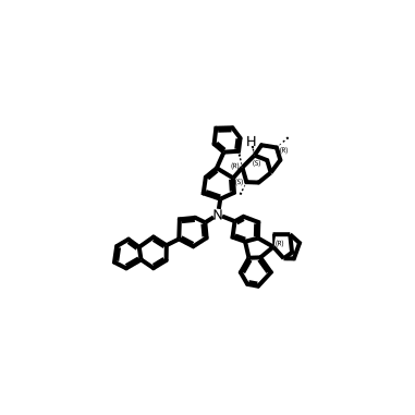 C[C@@H]1CC2C[C@H](C1)[C@@]1(c3ccccc3-c3ccc(N(c4ccc(-c5ccc6ccccc6c5)cc4)c4ccc5c(c4)-c4ccccc4[C@]54CC5CCC4C5)cc31)[C@@H](C)C2